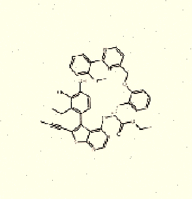 CC#Cc1sc2ncnc(O[C@H](Cc3ccccc3OCc3ccnc(-c4ccccc4OC)n3)C(=O)OCC)c2c1-c1ccc(O)c(Cl)c1CC